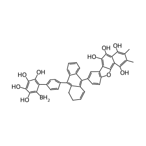 Bc1c(O)c(O)c(O)c(O)c1-c1ccc(-c2c3c(c(-c4ccc5oc6c7c(O)c(C)c(C)c(O)c7c(O)c(O)c6c5c4)c4ccccc24)C=CCC3)cc1